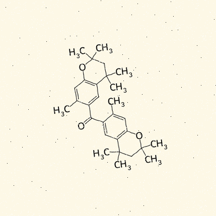 Cc1cc2c(cc1C(=O)c1cc3c(cc1C)OC(C)(C)CC3(C)C)C(C)(C)CC(C)(C)O2